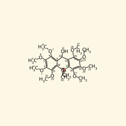 COc1c(OC)c(OC)c(C(O)c2c(OC)c(OC)c(OC)c(OC)c2OC)c(OC)c1OC